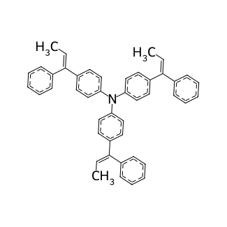 CC=C(c1ccccc1)c1ccc(N(c2ccc(C(=CC)c3ccccc3)cc2)c2ccc(C(=CC)c3ccccc3)cc2)cc1